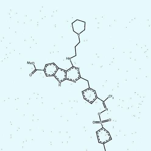 COC(=O)c1ccc2c(c1)[nH]c1nc(Cc3cccc(/C(=N\OS(=O)(=O)c4ccc(C)cc4)C(F)(F)F)c3)nc(NCCCN3CCCCC3)c12